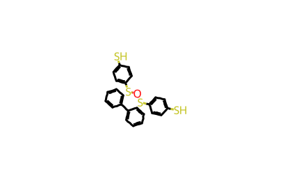 Sc1ccc(SOSc2ccc(S)cc2)cc1.c1ccc(-c2ccccc2)cc1